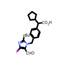 CCCCc1nc(I)c(C=O)n1Cc1ccc(C(C(=O)O)C2CCCC2)cc1